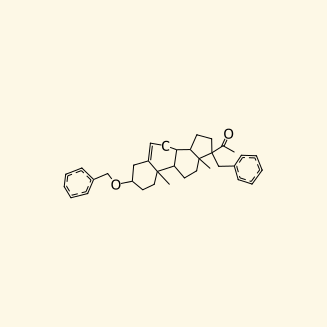 CC(=O)C1(Cc2ccccc2)CCC2C3CC=C4CC(OCc5ccccc5)CCC4(C)C3CCC21C